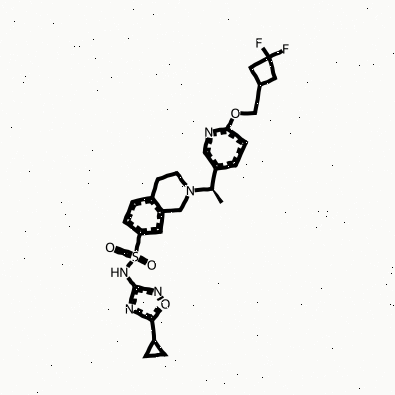 C[C@H](c1ccc(OCC2CC(F)(F)C2)nc1)N1CCc2ccc(S(=O)(=O)Nc3noc(C4CC4)n3)cc2C1